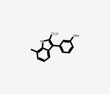 CSc1cccc(-c2c(C(=O)O)[nH]c3c(C)cccc23)c1